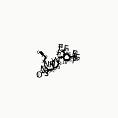 C#CCCNC1=NC(=O)SC1=CC1CCN(Cc2ccc(C(F)(F)F)cc2C(F)(F)F)CC1